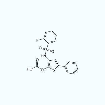 O=C(O)Oc1sc(-c2ccccc2)cc1NS(=O)(=O)c1ccccc1F